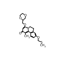 CSCOc1ccc2c(c1)CCn1c(OCC3COCCO3)cc(=O)c(C)c1-2